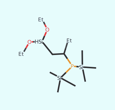 CCO[SiH](CC(CC)P([Si](C)(C)C)[Si](C)(C)C)OCC